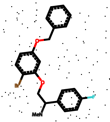 CNC(COc1cc(OCc2ccccc2)ccc1Br)c1ccc(F)cc1